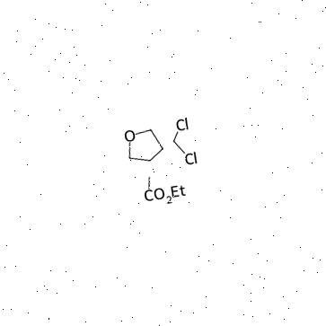 C1CCOC1.CCOC(C)=O.ClCCl